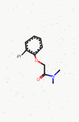 CC(C)c1ccccc1OCC(=O)N(C)C